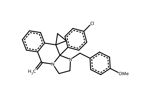 C=C1c2ccccc2C2(CC2)C2(c3ccc(Cl)cc3)N(Cc3ccc(OC)cc3)CCN12